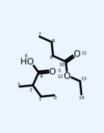 CCC(C)C(=O)O.CCCC(=O)OCC